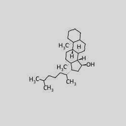 CC(C)CCCC(C)[C@H]1C[C@H](O)[C@H]2[C@@H]3CCC4CCCC[C@]4(C)[C@H]3CC[C@@]21C